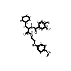 COc1ccc(NCCNC(=O)C(CC2CCCCC2)NC(=O)c2ccc(C)c(Br)c2)cc1